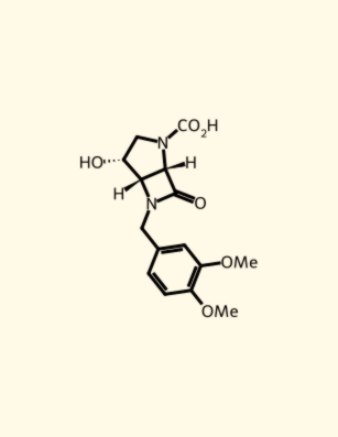 COc1ccc(CN2C(=O)[C@@H]3[C@H]2[C@H](O)CN3C(=O)O)cc1OC